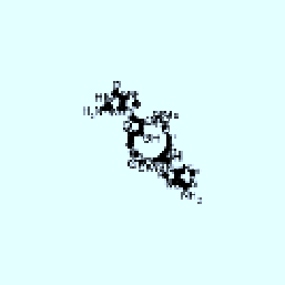 COP1(=O)OCC2OC(n3cnc4c(=O)[nH]c(N)nc43)C(OP(=O)(OC)OCC3OC(n4cnc5c(N)ncnc54)C(O1)C3O)C2O